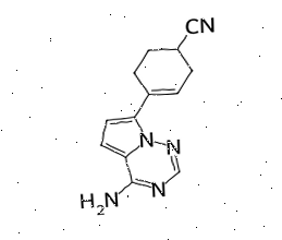 N#CC1CC=C(c2ccc3c(N)ncnn23)CC1